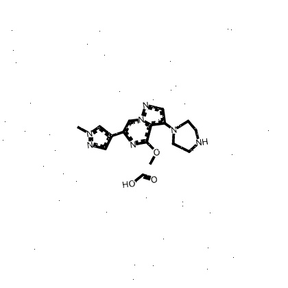 COc1nc(-c2cnn(C)c2)cn2ncc(N3CCNCC3)c12.O=CO